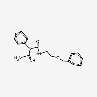 N=C(N)N(C(=O)NCCOCc1ccccc1)c1ccncc1